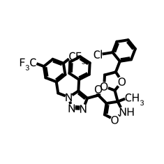 CC1(C2OCC(c3ccccc3Cl)O2)NOC=C1C(=O)c1nnn(Cc2cc(C(F)(F)F)cc(C(F)(F)F)c2)c1-c1ccccc1